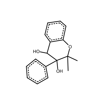 CC1(C)Oc2ccccc2C(O)C1(O)c1ccccc1